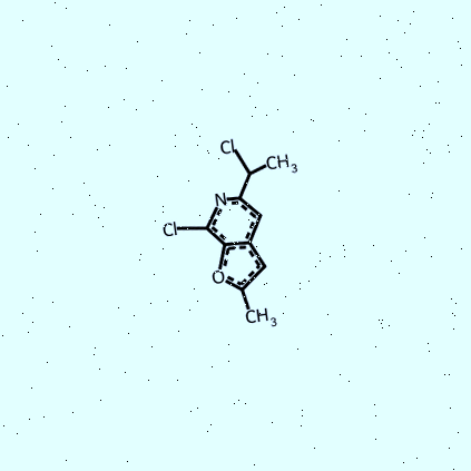 Cc1cc2cc(C(C)Cl)nc(Cl)c2o1